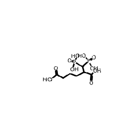 O=C(O)CCCC(C(=O)O)C(P(=O)(O)O)P(=O)(O)O